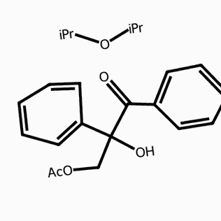 CC(=O)OCC(O)(C(=O)c1ccccc1)c1ccccc1.CC(C)OC(C)C